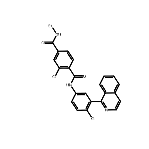 CCNC(=O)c1ccc(C(=O)Nc2ccc(Cl)c(-c3nccc4ccccc34)c2)c(Cl)c1